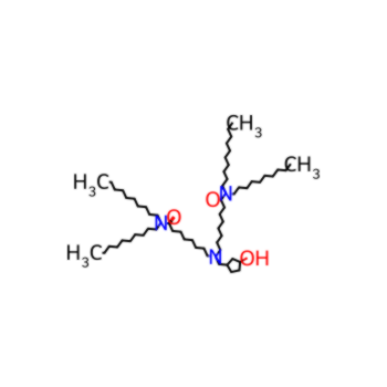 CCCCCCCCCCN(CCCCCCCCCC)C(=O)CCCCCCCN(CCCCCCCC(=O)N(CCCCCCCCCC)CCCCCCCCCC)CC1CCC(O)C1